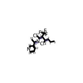 CC/C=C(Cl)/C(=C(Cl)\N=C(/C)c1cccnc1)C(F)(F)F